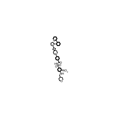 O=C(NS(=O)(=O)c1ccc(NCC2CCOCC2)c([N+](=O)[O-])c1)c1ccc(N2CCC3(CC2)CC(N2CCC[C@H]2c2ccccc2-c2ccccn2)C3)cc1